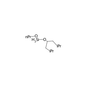 CCCO[SiH2]OC(CC(C)C)CC(C)C